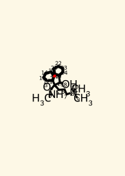 CNC(=O)C(CCCN(C)C)(c1ccccc1)C(O)c1ccccc1